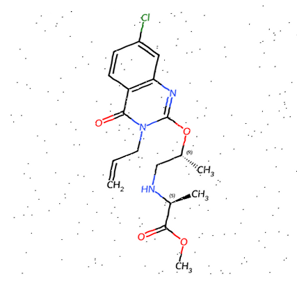 C=CCn1c(O[C@H](C)CN[C@@H](C)C(=O)OC)nc2cc(Cl)ccc2c1=O